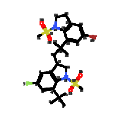 CC(C)(C)c1cc(F)cc2c1N(S(C)(=O)=O)CC2CC(C)(C)c1cc(Br)cc2c1N(S(C)(=O)=O)CC2